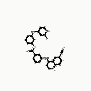 Cc1cc(Nc2cccc(NC(=O)c3cccc(Nc4ccnc5ccc(C#N)cc45)c3)c2)ccn1